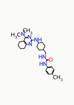 Cc1ccc(NC(=O)NCC2CCC(Nc3nc4c(c(N(C)C)n3)CCCC4)CC2)cc1